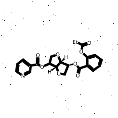 CCC(=O)Oc1ccccc1C(=O)O[C@H]1CO[C@@H]2C(OC(=O)c3cccnc3)CO[C@H]12